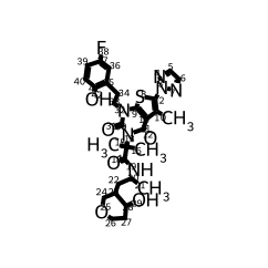 Cc1c(-n2nccn2)sc2c1c(=O)n(C(C)(C)C(=O)NC(C)CC1COCCC1O)c(=O)n2CCc1cc(F)ccc1O